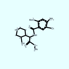 COc1cc(N)c(Cl)cc1C(=O)NC(C(=O)OC(C)(C)C)C1CCNCC1O